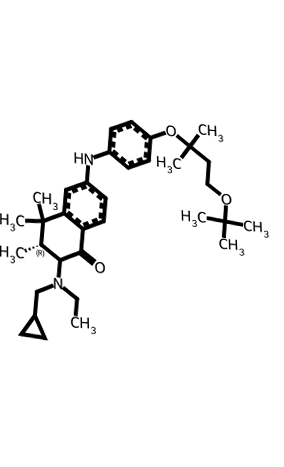 CCN(CC1CC1)C1C(=O)c2ccc(Nc3ccc(OC(C)(C)CCOC(C)(C)C)cc3)cc2C(C)(C)[C@H]1C